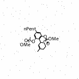 CCCCCc1cc(OP(C)(=O)OC)c(C2C=C(C)CCC2)c(OP(C)(=O)OC)c1